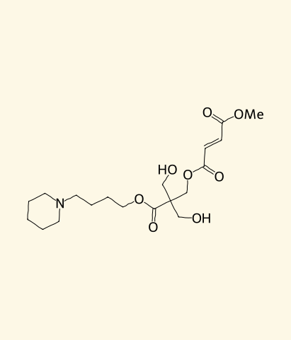 COC(=O)/C=C/C(=O)OCC(CO)(CO)C(=O)OCCCCN1CCCCC1